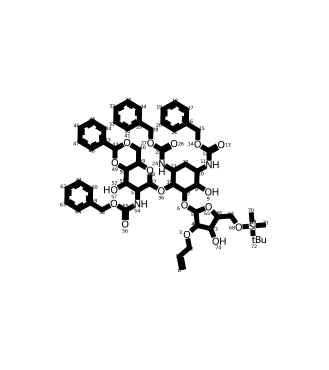 C=CCOC1C(OC2C(O)C(NC(=O)OCc3ccccc3)CC(NC(=O)OCc3ccccc3)C2OC2OC3COC(c4ccccc4)OC3C(O)C2NC(=O)OCc2ccccc2)OC(CO[Si](C)(C)C(C)(C)C)C1O